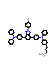 O=C(O)CCCc1ccc(N(c2ccccc2)c2ccc(-c3ccc(-c4ccc(N(c5ccccc5)c5ccccc5)cc4)c4nn(-c5ccc(F)cc5)nc34)cc2)cc1